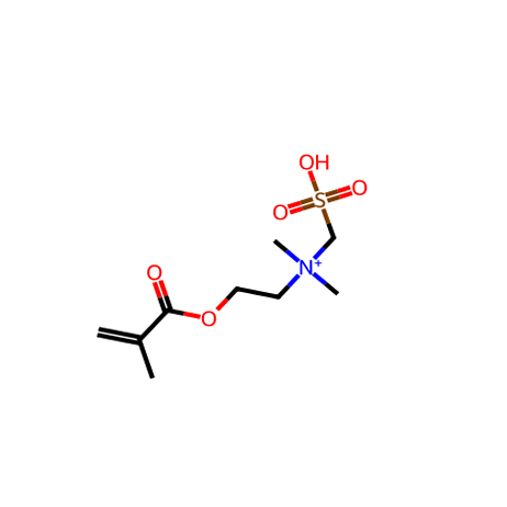 C=C(C)C(=O)OCC[N+](C)(C)CS(=O)(=O)O